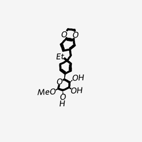 CCC1(Cc2ccc3c(c2)OCCO3)C=CC([C@@H]2O[C@H](OC)[C@@H](O)[C@H](O)[C@H]2O)=CC1